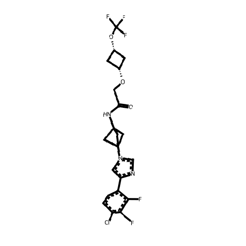 O=C(CO[C@H]1C[C@@H](OC(F)(F)F)C1)NC12CC(n3cnc(-c4ccc(Cl)c(F)c4F)c3)(C1)C2